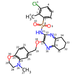 Cc1c(Cl)cccc1S(=O)(=O)Nc1nc2c(nc1OCc1ccc3c(c1)N(C)CCO3)CCCC2